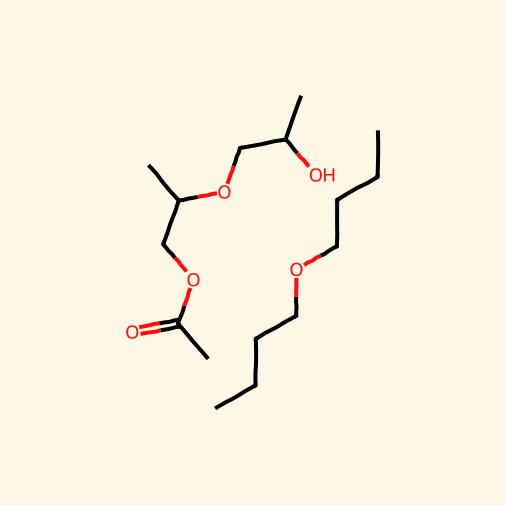 CC(=O)OCC(C)OCC(C)O.CCCCOCCCC